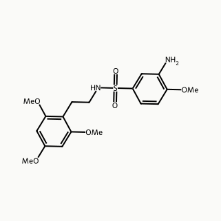 COc1cc(OC)c(CCNS(=O)(=O)c2ccc(OC)c(N)c2)c(OC)c1